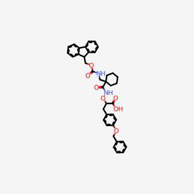 O=C(NCC1(C(=O)NOC(Cc2ccc(OCc3ccccc3)cc2)C(=O)O)CCCCC1)OCC1c2ccccc2-c2ccccc21